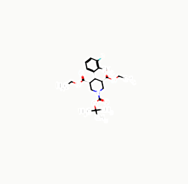 CCOC(=O)[C@H]1CN(C(=O)OC(C)(C)C)C[C@@H](C(=O)OCC)[C@@H]1c1cccc(F)c1C